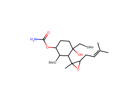 COC1C(OC(N)=O)CCC(O)(CSC)C1C1(C)OC1CC=C(C)C